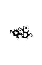 Cc1cc(F)ccc1N1CCC(=O)CC1C(=O)O